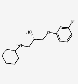 O[C@@H](CNC1CCCCC1)COc1cccc(Br)c1